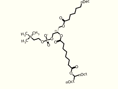 CCCCCCCCCCCCCCCC(=O)OC[C@@H](COP(=O)([O-])OCC[N+](C)(C)C)OC(=O)CCCCCCC(=O)OC(CCCCCCCC)CCCCCCCC